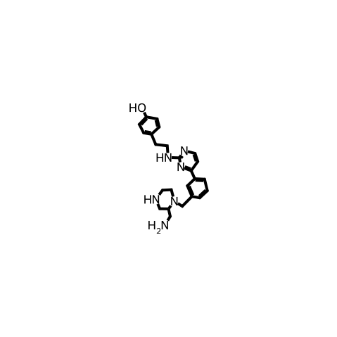 NCC1CNCCN1Cc1cccc(-c2ccnc(NCCc3ccc(O)cc3)n2)c1